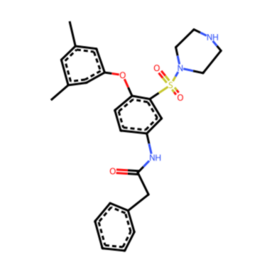 Cc1cc(C)cc(Oc2ccc(NC(=O)Cc3ccccc3)cc2S(=O)(=O)N2CCNCC2)c1